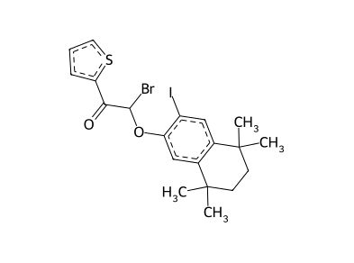 CC1(C)CCC(C)(C)c2cc(OC(Br)C(=O)c3cccs3)c(I)cc21